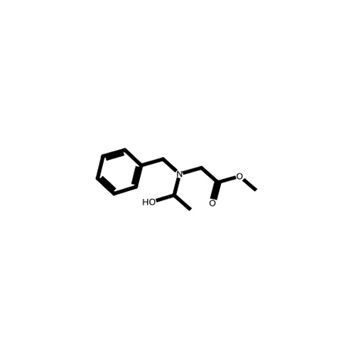 COC(=O)CN(Cc1ccccc1)C(C)O